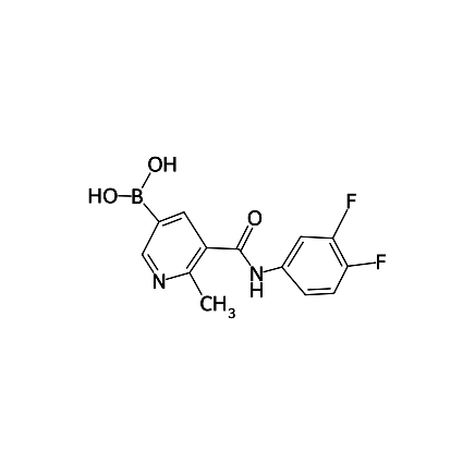 Cc1ncc(B(O)O)cc1C(=O)Nc1ccc(F)c(F)c1